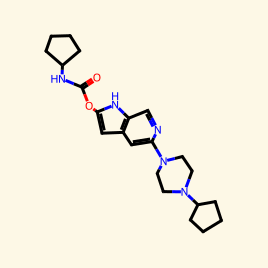 O=C(NC1CCCC1)Oc1cc2cc(N3CCN(C4CCCC4)CC3)ncc2[nH]1